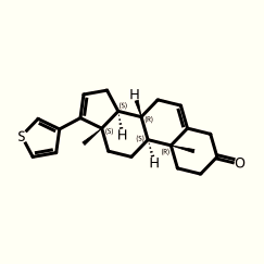 C[C@]12CCC(=O)CC1=CC[C@@H]1[C@@H]2CC[C@]2(C)C(c3ccsc3)=CC[C@@H]12